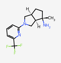 C[C@]1(N)CC[C@@H]2CN(c3cccc(C(F)(F)F)n3)C[C@@H]21